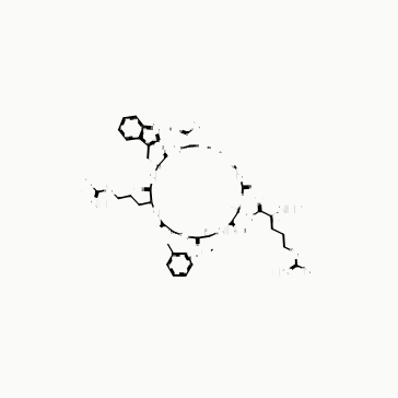 CC(=O)N[C@@H](CCCNC(=N)N)C(=O)N[C@H]1CC(=O)NCCCC[C@@H](C(N)=O)NC(=O)[C@H](Cc2c[nH]c3ccccc23)NC(=O)C(CCCNC(=N)N)NC(=O)[C@@H](Cc2ccccc2)NC(=O)[C@@H](CO)NC1=O